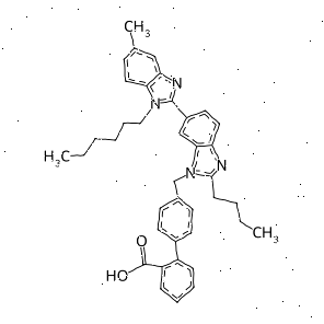 CCCCCCn1c(-c2ccc3nc(CCCC)n(Cc4ccc(-c5ccccc5C(=O)O)cc4)c3c2)nc2cc(C)ccc21